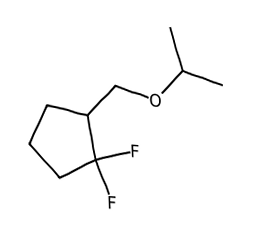 CC(C)OCC1CCCC1(F)F